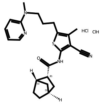 Cc1c(CCCN(C)c2ccccn2)sc(NC(=O)[C@@H]2C[C@H]3CC[C@H]2C3)c1C#N.Cl.Cl